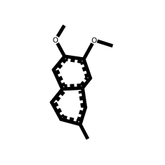 COc1cc2ccc(C)cc2cc1OC